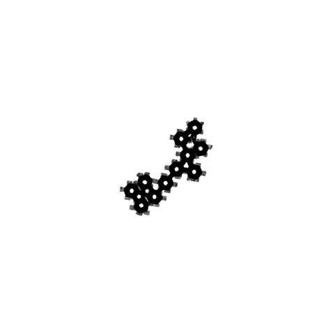 c1ccc(-n2c3ccccc3c3cccc(-c4ccc5c6ccccc6c6cc(-c7ccc(-c8cccc9c8-c8ccccc8C98c9ccccc9-c9ccccc98)cc7)ccc6c5c4)c32)cc1